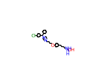 ONNCCCCc1ccc(OCCCCN2CCN([C@H](c3ccccc3)c3ccc(Cl)cc3)CC2)cc1